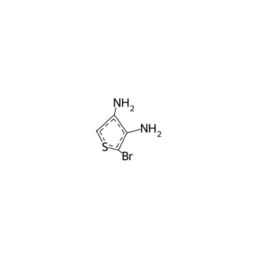 Nc1csc(Br)c1N